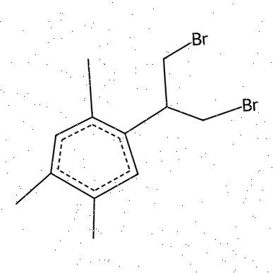 Cc1cc(C)c(C(CBr)CBr)cc1C